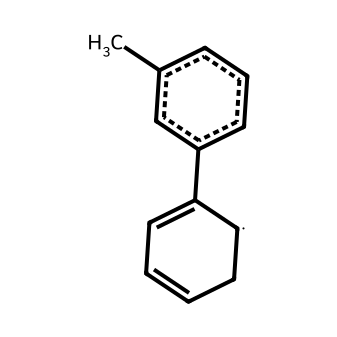 Cc1cccc(C2=CC=CC[CH]2)c1